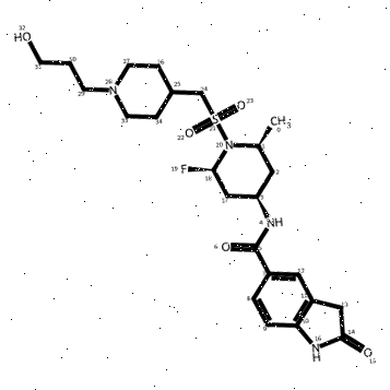 C[C@H]1C[C@@H](NC(=O)c2ccc3c(c2)CC(=O)N3)C[C@@H](F)N1S(=O)(=O)CC1CCN(CCCO)CC1